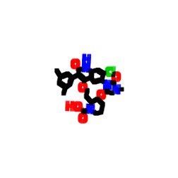 Cc1cc(C)cc(-c2c(OCCC3CCCCN3C(=O)O)c3cc(N4C(=O)CN(C)C4=O)c(Cl)cc3[nH]c2=O)c1